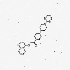 O=C(CSc1ccnc2ccccc12)c1ccc(N2CCN(c3ncccn3)CC2)cc1